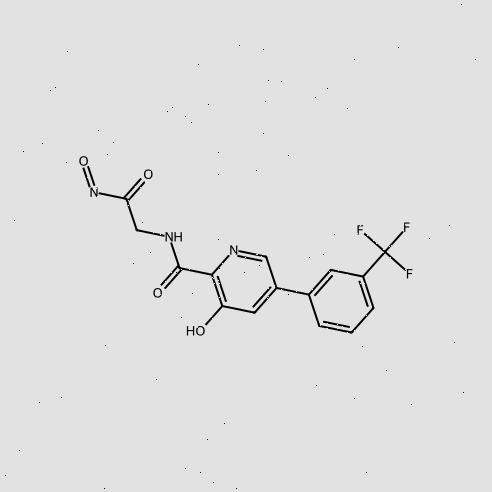 O=NC(=O)CNC(=O)c1ncc(-c2cccc(C(F)(F)F)c2)cc1O